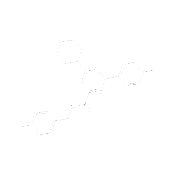 Cc1ncc([C@@H](C)NC(=O)c2cc(-c3ccc(Cl)cc3)cc(C3CCCCC3)c2)cn1